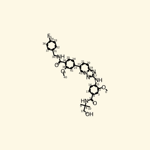 COc1cc(C(=O)NC(C)(C)CO)ccc1Nc1nc2ccc(-c3ccc(C(=O)NCc4ccc(F)cc4)c(OC)c3)cn2n1